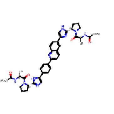 COC(=O)N[C@H](C(=O)N1CCC[C@H]1c1nc(-c2ccc3nc(-c4ccc(-c5cnc([C@@H]6CCCN6C(=O)[C@@H](NC(=O)OC)C(C)C)[nH]5)cc4)ccc3c2)c[nH]1)C(C)C